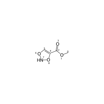 COC(=O)C1=CONO1